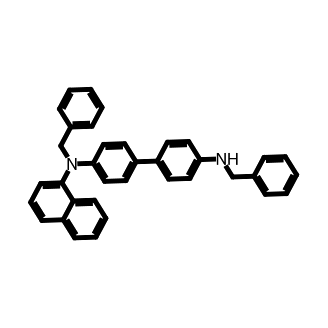 c1ccc(CNc2ccc(-c3ccc(N(Cc4ccccc4)c4cccc5ccccc45)cc3)cc2)cc1